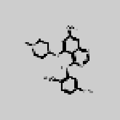 COc1ccc(OC)c(Nc2ncnc3cc(OC)cc(OC4CCN(C)CC4)c23)c1